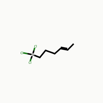 C/C=C/CCC[Si](Cl)(Cl)Cl